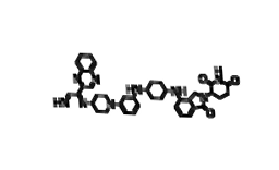 N=C/C(=N/C1CCN(c2cccc(NC3CCC(Nc4cccc5c4CN(C4CCC(=O)NC4=O)C5=O)CC3)c2)CC1)c1cnc2ccccc2n1